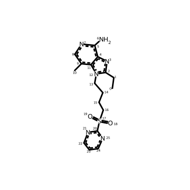 CCc1nc2c(N)ncc(C)c2n1CCCCS(=O)(=O)c1ncccn1